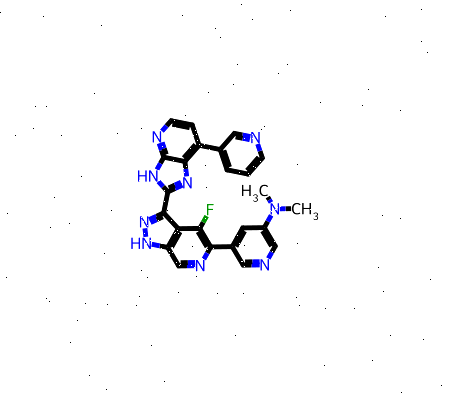 CN(C)c1cncc(-c2ncc3[nH]nc(-c4nc5c(-c6cccnc6)ccnc5[nH]4)c3c2F)c1